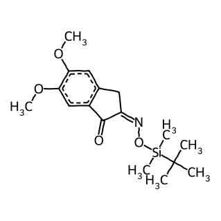 COc1cc2c(cc1OC)C(=O)/C(=N\O[Si](C)(C)C(C)(C)C)C2